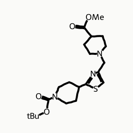 COC(=O)C1CCN(Cc2csc(C3CCN(C(=O)OC(C)(C)C)CC3)n2)CC1